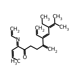 C=C/N=C(\C=C/C)C(=O)CCC(=C)/C(C=C)=C/C(CC)=C(C)C